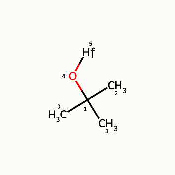 CC(C)(C)[O][Hf]